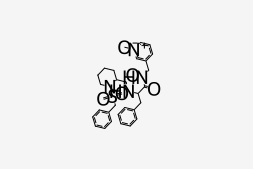 O=C(NCc1ccc[n+]([O-])c1)C(Cc1ccccc1)NC(=O)C1CCCCN1S(=O)(=O)Cc1ccccc1